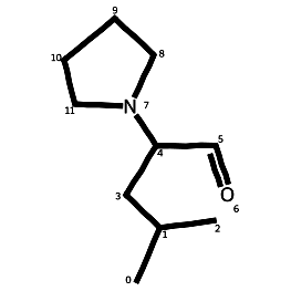 CC(C)CC(C=O)N1CCCC1